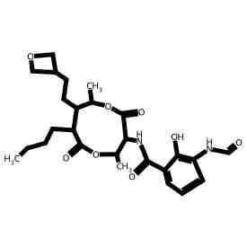 CCCCC1C(=O)OC(C)C(NC(=O)c2cccc(NC=O)c2O)C(=O)OC(C)C1CCC1COC1